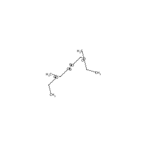 CCCCCCCC/C=C\CCCCCCCC(=O)O[C@@H](C/C=C\CCCCCCCCOC(=O)CCC(=O)OCCCCCCCC/C=C\C[C@@H](CCCCCC)OC(=O)CCCCCCC/C=C\CCCCCCCC)CCCCCC